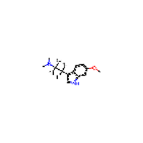 [2H]C([2H])(c1c[nH]c2cc(OC)ccc12)C([2H])([2H])N(C)C